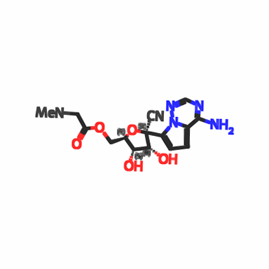 CNCC(=O)OC[C@H]1O[C@@](C#N)(c2ccc3c(N)ncnn23)[C@H](O)[C@@H]1O